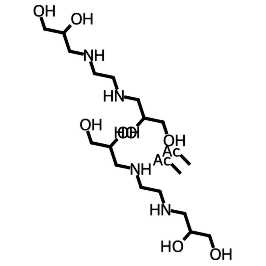 CC(C)=O.CC(C)=O.OCC(O)CNCCNCC(O)CO.OCC(O)CNCCNCC(O)CO